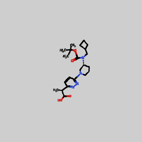 CC(C(=O)O)c1ccc(N2CCC[C@@H](N(CC3CCC3)C(=O)OC(C)(C)C)C2)nn1